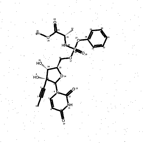 CC#C[C@]1(O)C(n2ccc(=O)[nH]c2=O)O[C@H](COP(=O)(N[C@@H](C)C(=O)OC(C)C)Oc2ccccc2)[C@H]1O